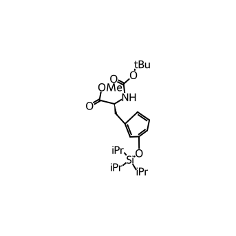 COC(=O)[C@H](Cc1cccc(O[Si](C(C)C)(C(C)C)C(C)C)c1)NC(=O)OC(C)(C)C